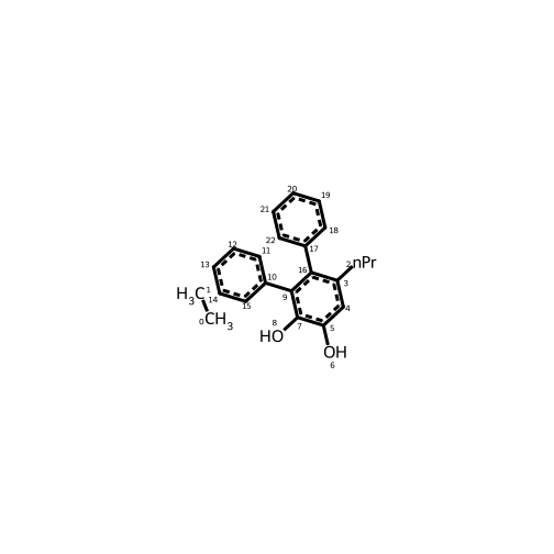 CC.CCCc1cc(O)c(O)c(-c2ccccc2)c1-c1ccccc1